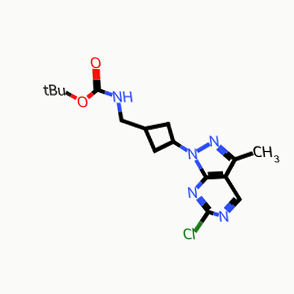 Cc1nn(C2CC(CNC(=O)OC(C)(C)C)C2)c2nc(Cl)ncc12